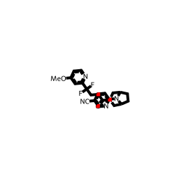 COc1ccnc(C(F)(F)CCC(=O)N2CC3CCC(C2)N3c2ccc(C#N)cn2)c1